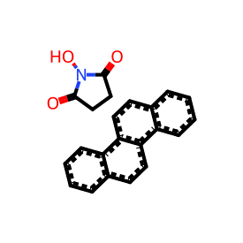 O=C1CCC(=O)N1O.c1ccc2c(c1)ccc1c3ccccc3ccc21